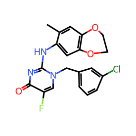 Cc1cc2c(cc1Nc1nc(=O)c(F)cn1Cc1cccc(Cl)c1)OCCO2